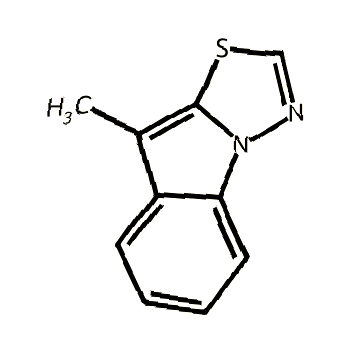 Cc1c2ccccc2n2ncsc12